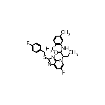 CCC(C(=O)Nc1cc(C)ccc1C)n1cc(F)cc2nc(SCc3ccc(F)cc3)nc1-2